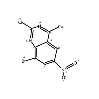 O=[N+]([O-])c1cc(Br)c2nc(Cl)nc(Cl)c2c1